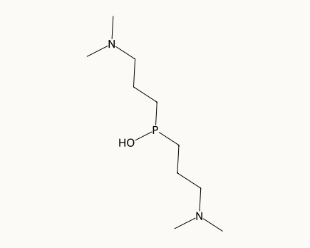 CN(C)CCCP(O)CCCN(C)C